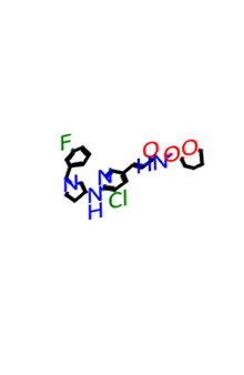 O=C(C=Cc1cnc(N[C@@H]2CCN(Cc3cccc(F)c3)C2)c(Cl)c1)NOC1CCCCO1